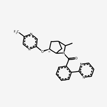 CC1C2CC([C@@H](Oc3cnc(C(F)(F)F)cn3)C2)N1C(=O)c1ccccc1-c1ncccn1